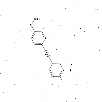 CCCCOc1ccc(C#Cc2cnc(F)c(F)c2)cc1